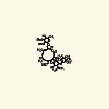 CCC1OC(=O)CC(O)C(C)C(OC2OC(C)C(OC3CC(C)(O)C(O)C(C)O3)C(N(C)C)C2O)C(CC=O)CC(C)C(=O)/C=C/C(C)=C/C1COC1OC(C)C(O)C(OC)C1OC